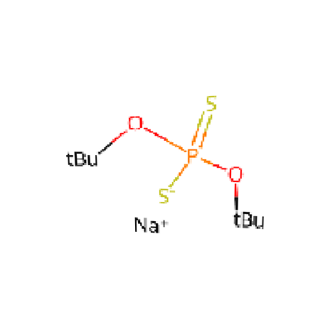 CC(C)(C)OP(=S)([S-])OC(C)(C)C.[Na+]